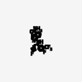 NC(=O)c1cccc2c(N[C@H](CN3CC(F)C3)c3ccc(F)c(C(F)(F)F)c3)ncnc12